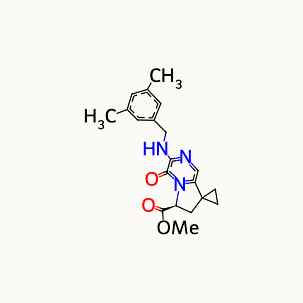 COC(=O)[C@@H]1CC2(CC2)c2cnc(NCc3cc(C)cc(C)c3)c(=O)n21